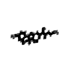 CCCNC(=O)NC[C@H]1O[C@@H](n2ccc(N)nc2=O)C(F)(F)[C@@H]1O